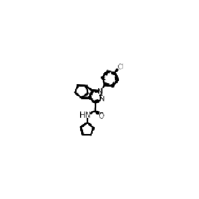 O=C(NC1CCCC1)c1nn(-c2ccc(Cl)cc2)c2c1C1CCC2C1